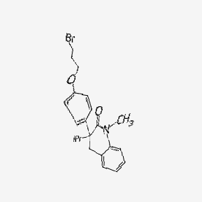 CC(C)C1(c2ccc(OCCCBr)cc2)Cc2ccccc2N(C)C1=O